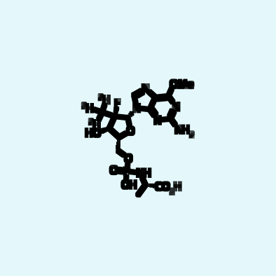 [2H]C([2H])([2H])[C@@]1(F)[C@H](O)[C@@H](COP(=O)(O)N[C@@H](C)C(=O)O)O[C@H]1n1cnc2c(OC)nc(N)nc21